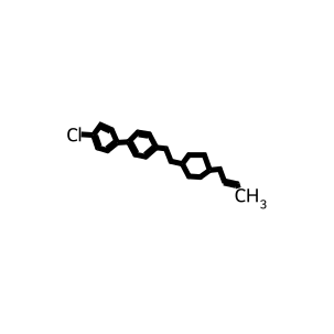 C/C=C/CC1CCC(CCc2ccc(-c3ccc(Cl)cc3)cc2)CC1